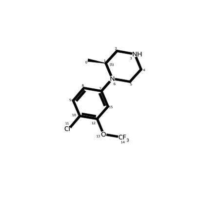 C[C@H]1CNCCN1c1ccc(Cl)c(OC(F)(F)F)c1